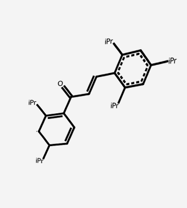 CC(C)C1=C(C(=O)C=Cc2c(C(C)C)cc(C(C)C)cc2C(C)C)C=CC(C(C)C)[CH]1